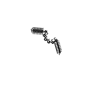 FC(F)(F)C(F)(F)C(F)(F)C(F)(F)C(F)(F)C(F)(F)C(F)(F)c1ccsc1-c1ccc(-c2ccc(-c3ccc(-c4ccc(-c5sccc5C(F)(F)C(F)(F)C(F)(F)C(F)(F)C(F)(F)C(F)(F)C(F)(F)F)s4)s3)s2)s1